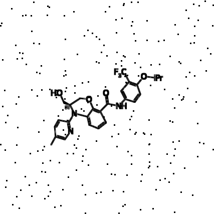 Cc1ccc(N2c3cccc(C(=O)Nc4ccc(OC(C)C)c(C(F)(F)F)c4)c3OC[C@@H]2CO)nc1